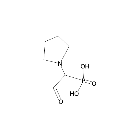 O=CC(N1CCCC1)P(=O)(O)O